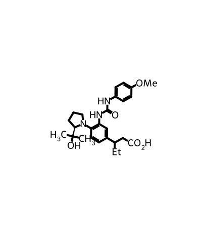 CCC(CC(=O)O)c1ccc(N2CCC[C@@H]2C(C)(C)O)c(NC(=O)Nc2ccc(OC)cc2)c1